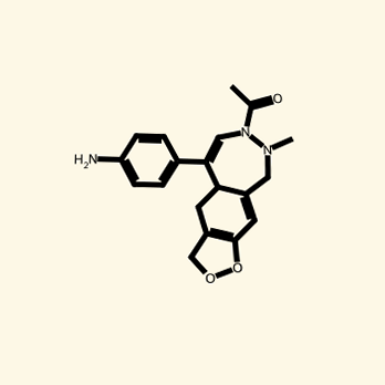 CC(=O)N1C=C(c2ccc(N)cc2)C2CC3=C(C=C2CN1C)OOC3